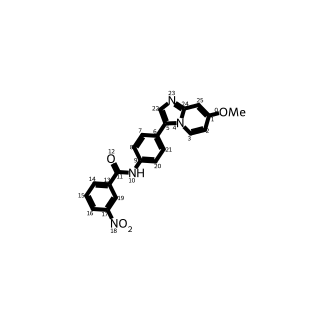 COc1ccn2c(-c3ccc(NC(=O)c4cccc([N+](=O)[O-])c4)cc3)cnc2c1